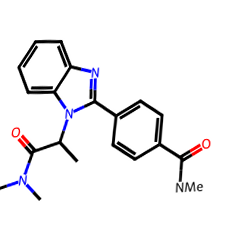 CNC(=O)c1ccc(-c2nc3ccccc3n2C(C)C(=O)N(C)C)cc1